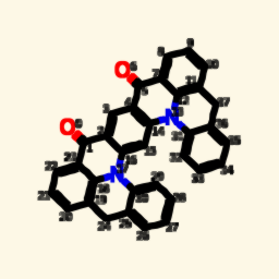 O=c1c2cc3c(=O)c4cccc5c4n(c3cc2n2c3c(cccc13)Cc1ccccc1-2)-c1ccccc1C5